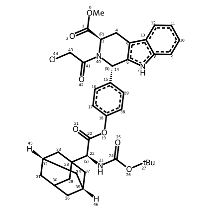 COC(=O)[C@H]1Cc2c([nH]c3ccccc23)[C@H](c2ccc(OC(=O)[C@@H](NC(=O)OC(C)(C)C)C34CC5C[C@H](C3)C[C@@H](C5)C4)cc2)N1C(=O)CCl